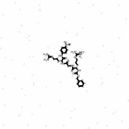 Cl.Cl.NC(N)=NCCC[C@H](NC(=O)OCc1ccccc1)C(=O)NCC(=O)N[C@H](CCCN=C(N)N)C(=O)Nc1ccc([N+](=O)[O-])cc1